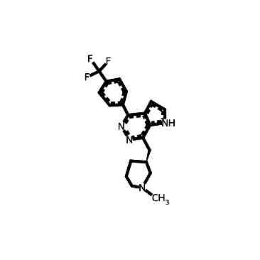 CN1CCC[C@@H](Cc2nnc(-c3ccc(C(F)(F)F)cc3)c3cc[nH]c23)C1